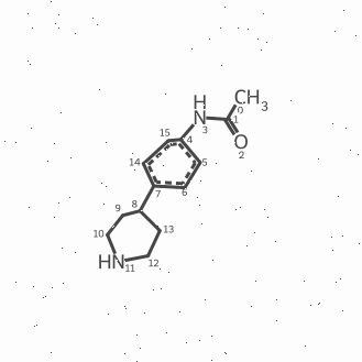 CC(=O)Nc1ccc(C2CCNCC2)cc1